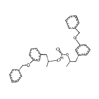 CC(Cc1cccc(OCc2ccccc2)c1)O[PH](=O)OC(C)Cc1cccc(OCc2ccccc2)c1